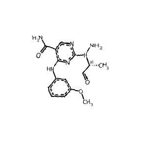 COc1cccc(Nc2nc(N(N)[C@H](C)C=O)ncc2C(N)=O)c1